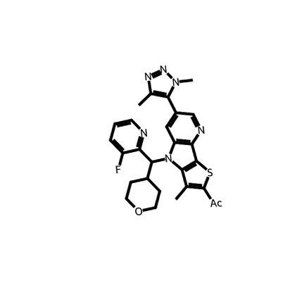 CC(=O)c1sc2c3ncc(-c4c(C)nnn4C)cc3n(C(c3ncccc3F)C3CCOCC3)c2c1C